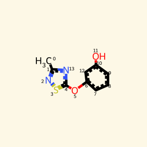 Cc1nsc(Oc2cccc(O)c2)n1